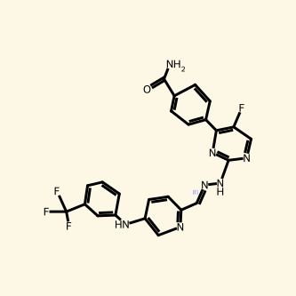 NC(=O)c1ccc(-c2nc(N/N=C/c3ccc(Nc4cccc(C(F)(F)F)c4)cn3)ncc2F)cc1